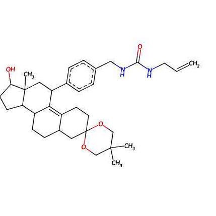 C=CCNC(=O)NCc1ccc(C2CC3(C)C(O)CCC3C3CCC4CC5(CCC4=C23)OCC(C)(C)CO5)cc1